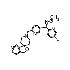 CO/N=C(/c1ccc(CN2CCC3(CC2)OCc2ccncc23)nc1)c1ccc(F)cn1